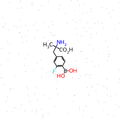 C[C@](N)(Cc1ccc(B(O)O)c(F)c1)C(=O)O